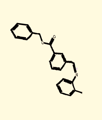 O=C(OCc1ccccc1)c1cccc(/C=N\c2ccccc2I)c1